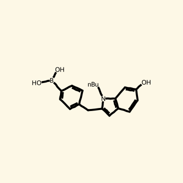 CCCCn1c(Cc2ccc(B(O)O)cc2)cc2ccc(O)cc21